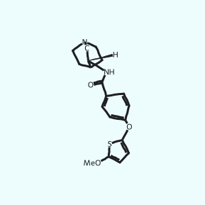 COc1ccc(Oc2ccc(C(=O)N[C@H]3CN4CCC3CC4)cc2)s1